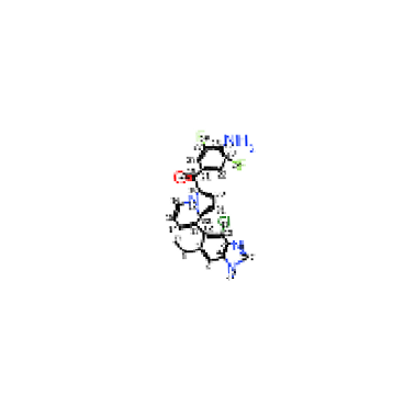 CCc1cc2c(ncn2C)c(Cl)c1-c1cccn2c(C(=O)c3cc(F)c(N)c(F)c3)ccc12